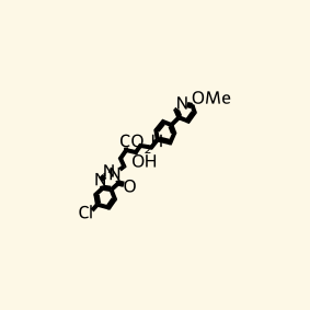 COc1ccc(-c2ccc(CC[C@@H](O)C(CCn3nnc4cc(Cl)ccc4c3=O)C(=O)O)cc2)cn1